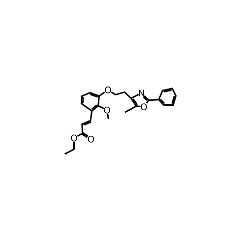 CCOC(=O)C=Cc1cccc(OCCc2nc(-c3ccccc3)oc2C)c1OC